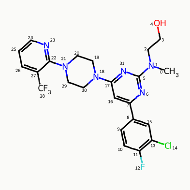 CN(CCO)c1nc(-c2ccc(F)c(Cl)c2)cc(N2CCN(c3ncccc3C(F)(F)F)CC2)n1